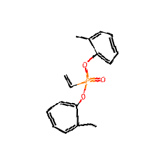 C=CP(=O)(Oc1ccccc1C)Oc1ccccc1C